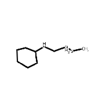 CS[SiH2]CNC1CCCCC1